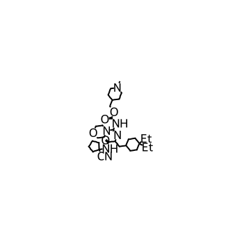 CCC1(CC)CCC(CC(/N=C(/NC(=O)OCC2CCN(C)CC2)N2CCOCC2)C(=O)NC2(C#N)CCCC2)CC1